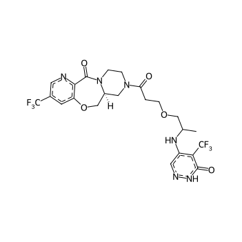 CC(COCCC(=O)N1CCN2C(=O)c3ncc(C(F)(F)F)cc3OC[C@@H]2C1)Nc1cn[nH]c(=O)c1C(F)(F)F